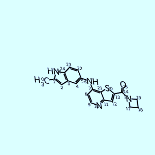 Cc1cc2cc(Nc3ccnc4cc(C(=O)N5CCC5)sc34)ccc2[nH]1